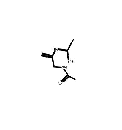 C=C(CNC(C)=O)NC(C)O